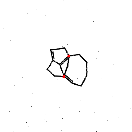 [C]1=C(/C2=C\CCCCCC2)\C=C/CCCC/1